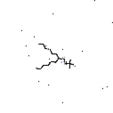 CCCCCCC(CCCCCC)/N=N/C(C)(C)Cl